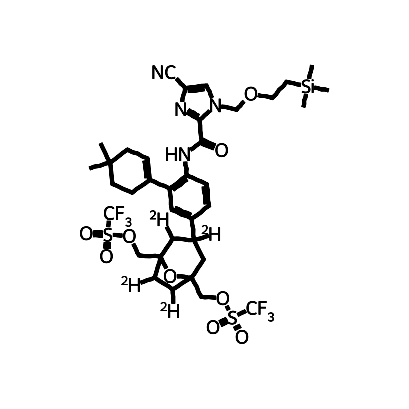 [2H]C1C([2H])C2(COS(=O)(=O)C(F)(F)F)OC1(COS(=O)(=O)C(F)(F)F)CC([2H])(c1ccc(NC(=O)c3nc(C#N)cn3COCC[Si](C)(C)C)c(C3=CCC(C)(C)CC3)c1)C2[2H]